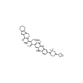 C=N/C(=C(COC(C)=O)\C(=C/C)c1cc(Nc2ccc(N3CCN(C4COC4)CC3(C)C)cn2)c(=O)n(C)c1)N1CCn2c(cc3c2CCCC3)C1=O